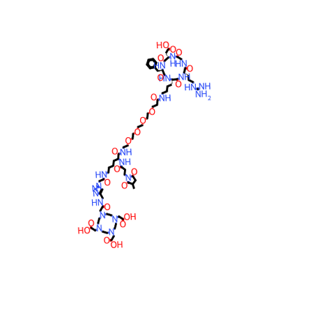 CC1CC(=O)N(CCC(=O)NC(CCCCNC(=O)Cn2cc(CNC(=O)CN3CCN(CC(=O)O)CCN(CC(=O)O)CCN(CC(=O)O)CC3)nn2)C(=O)NCCOCCOCCOCCOCCC(=O)NCCCC[C@@H]2NC(=O)[C@@H](Cc3ccccc3)NC(=O)[C@H](CC(=O)O)NC(=O)CNC(=O)[C@H](CCCNC(=N)N)NC2=O)C1=O